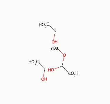 CCCCOC(O)C(=O)O.O=C(O)CO.O=C(O)CO